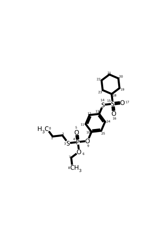 CCCSP(=O)(OCC)Oc1ccc(SS(=O)(=O)C2CCCCC2)cc1